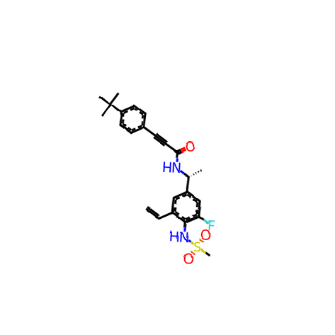 C=Cc1cc([C@@H](C)NC(=O)C#Cc2ccc(C(C)(C)C)cc2)cc(F)c1NS(C)(=O)=O